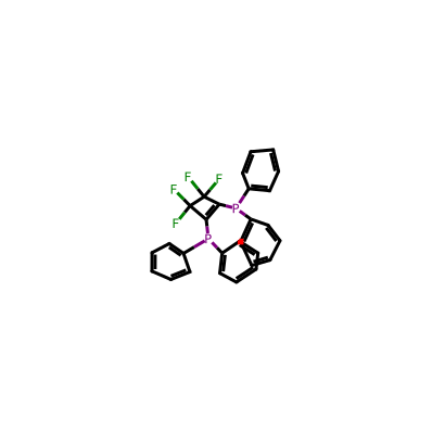 FC1(F)C(P(c2ccccc2)c2ccccc2)=C(P(c2ccccc2)c2ccccc2)C1(F)F